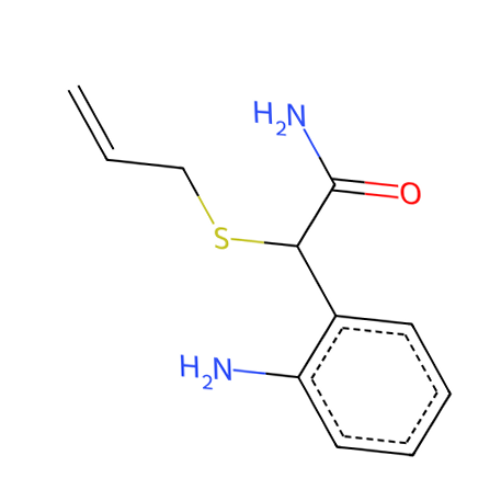 C=CCSC(C(N)=O)c1ccccc1N